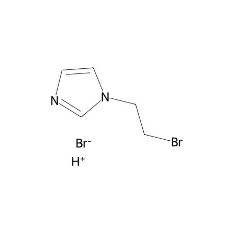 BrCCn1ccnc1.[Br-].[H+]